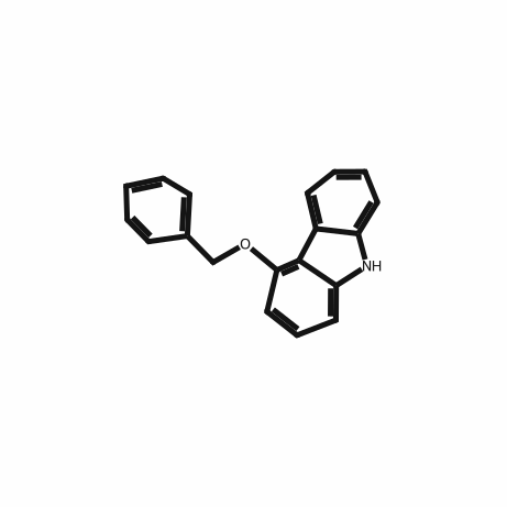 c1ccc(COc2cccc3[nH]c4ccccc4c23)cc1